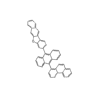 c1ccc2cc3c(cc2c1)oc1cc(-c2c4ccccc4c(-c4cccc5c4ccc4ccccc45)c4ccccc24)ccc13